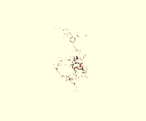 C=CCOC(=O)c1cc(COC(=O)N(C)CCCCC2COc3ccc4c5c([nH]c4c3)[S+]([O-])C[C@@H]3NC(=O)CNC(=O)[C@@H](NC(=O)CNC(=O)[C@H](C5)NC(=O)[C@H]([C@@H](C)[C@@H](O)CO)NC(=O)[C@@H]4C[C@@H](O)CN4C(=O)[C@H](CC(N)=O)NC3=O)[C@@H]2CC)ccc1O[C@@H]1OCC(OC(C)=O)C[C@H]1OC(C)=O